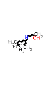 C=CCC(C=CCC(=C)C(=C)CC)C/N=C\CCC(C)O